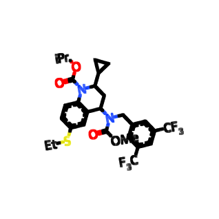 CCSc1ccc2c(c1)C(N(Cc1cc(C(F)(F)F)cc(C(F)(F)F)c1)C(=O)OC)CC(C1CC1)N2C(=O)OC(C)C